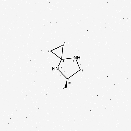 C[C@@H]1CNC2(CC2)N1